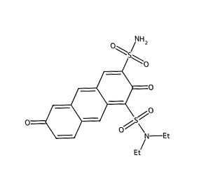 CCN(CC)S(=O)(=O)C1=c2cc3c(cc2C=C(S(N)(=O)=O)C1=O)=CC(=O)C=C3